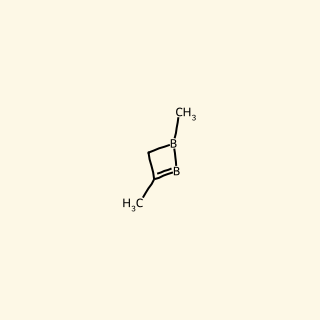 CB1B=C(C)C1